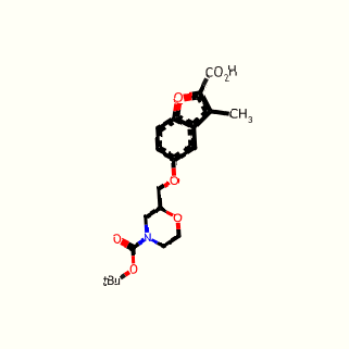 Cc1c(C(=O)O)oc2ccc(OCC3CN(C(=O)OC(C)(C)C)CCO3)cc12